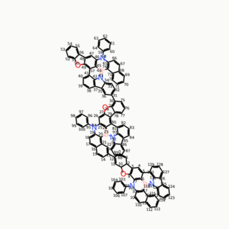 C1=CC2c3cc4c5c(c3OC2C=C1c1ccc2ccc3c(c2c1)B1c2c(cc6oc7c(-c8ccc9c(c8)c8cccc%10c8n9B8c9c(cc%11c(oc%12ccccc%12%11)c9-%10)N(c9ccccc9)c9ccc%10ccccc%10c98)cccc7c6c2-c2cccc6c7ccccc7n1c26)N3c1ccccc1)N(c1ccccc1)c1ccc2ccccc2c1B5n1c2ccccc2c2cccc-4c21